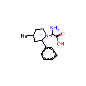 NCC(=O)O.[Na][CH]1CCNC(c2ccccc2)C1